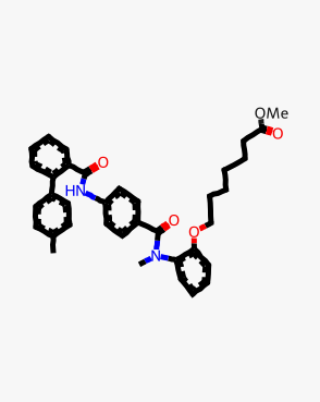 COC(=O)CCCCCCOc1ccccc1N(C)C(=O)c1ccc(NC(=O)c2ccccc2-c2ccc(C)cc2)cc1